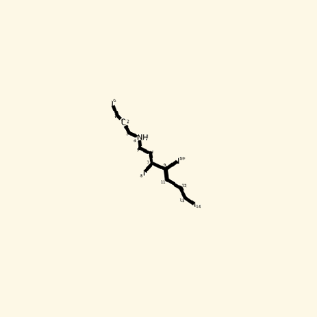 ICCCNCCC(I)C(I)CCCI